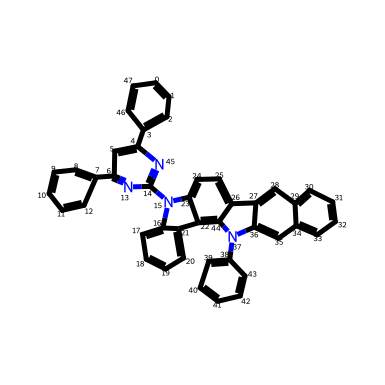 c1ccc(-c2cc(-c3ccccc3)nc(-n3c4ccccc4c4c3ccc3c5cc6ccccc6cc5n(-c5ccccc5)c34)n2)cc1